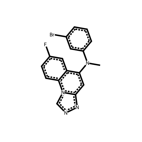 CN(c1cccc(Br)c1)c1cc2nncn2c2ccc(F)cc12